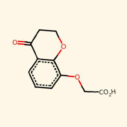 O=C(O)COc1cccc2c1OCCC2=O